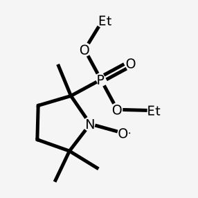 CCOP(=O)(OCC)C1(C)CCC(C)(C)N1[O]